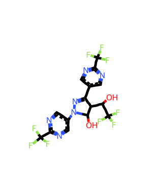 OC1C(C(O)C(F)(F)F)C(c2cnc(C(F)(F)F)nc2)=NN1c1cnc(C(F)(F)F)nc1